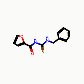 O=C(NC(=S)NCc1ccccc1)c1ccco1